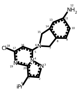 CC(C)c1cnn2c(N3Cc4ccc(N)cc4C3)cc(Cl)nc12